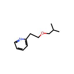 CC(C)COCCc1ccccn1